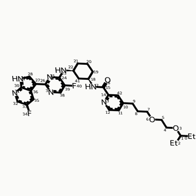 CCC(CC)OCCOCCCc1ccnc(C(=O)N[C@@H]2CCC[C@H](Nc3nc(-c4c[nH]c5ncc(F)cc45)ncc3F)C2)c1